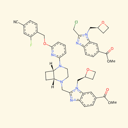 COC(=O)c1ccc2nc(CCl)n(C[C@@H]3CCO3)c2c1.COC(=O)c1ccc2nc(CN3CCN(c4cccc(OCc5ccc(C#N)cc5F)n4)[C@H]4CC[C@H]43)n(C[C@@H]3CCO3)c2c1